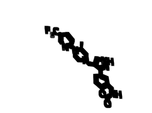 C[C@H]1CN(Cc2c[nH]nc2-c2ccc3c(c2)CNC(=O)O3)CCN1c1ccc(C(F)(F)F)cn1